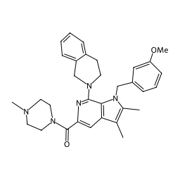 COc1cccc(Cn2c(C)c(C)c3cc(C(=O)N4CCN(C)CC4)nc(N4CCc5ccccc5C4)c32)c1